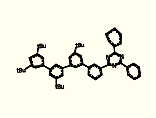 CC(C)(C)c1cc(-c2cccc(-c3nc(-c4ccccc4)nc(-c4ccccc4)n3)c2)cc(-c2cc(-c3cc(C(C)(C)C)cc(C(C)(C)C)c3)cc(C(C)(C)C)c2)c1